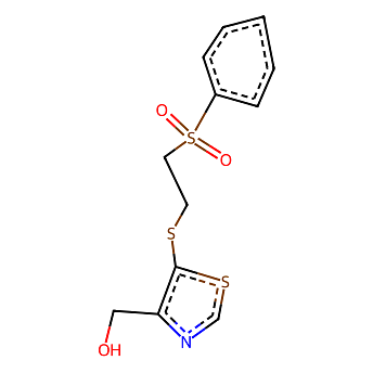 O=S(=O)(CCSc1scnc1CO)c1ccccc1